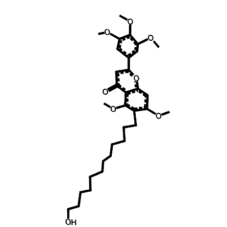 COc1cc2oc(-c3cc(OC)c(OC)c(OC)c3)cc(=O)c2c(OC)c1CCCCCCCCCCCCO